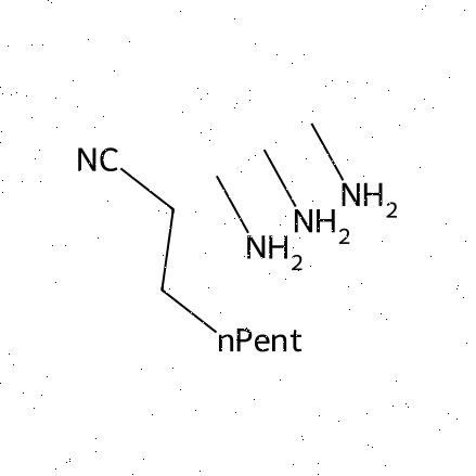 CCCCCCCC#N.CN.CN.CN